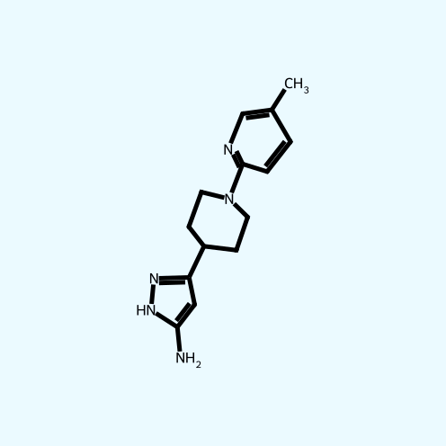 Cc1ccc(N2CCC(c3cc(N)[nH]n3)CC2)nc1